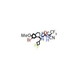 COc1cc2c(cc1Br)-c1c(C3CC(F)(F)C3)nc(C(=O)N[C@](C)(C#N)CC(F)(F)F)n1CC2